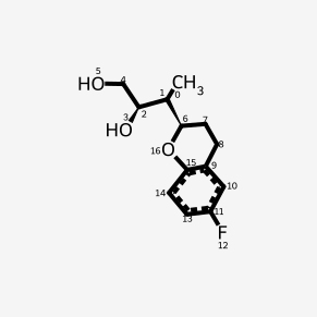 CC([C@@H](O)CO)[C@H]1CCc2cc(F)ccc2O1